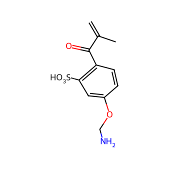 C=C(C)C(=O)c1ccc(OCN)cc1S(=O)(=O)O